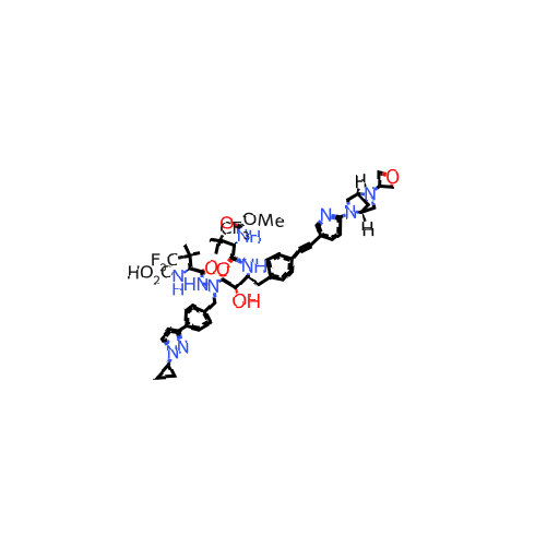 COC(=O)N[C@H](C(=O)N[C@@H](Cc1ccc(C#Cc2ccc(N3C[C@H]4C[C@@H]3CN4C3COC3)nc2)cc1)[C@@H](O)CN(Cc1ccc(-c2ccn(C3CC3)n2)cc1)NC(=O)[C@@H](NC(=O)O)C(C)(C)C(F)(F)F)C(C)(C)C(F)(F)F